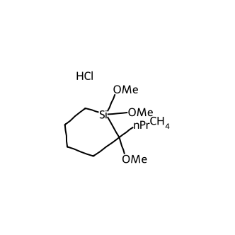 C.CCCC1(OC)CCCC[Si]1(OC)OC.Cl